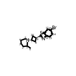 CC1CCCCN1[C@H]1C[C@H](c2nc3ccc(Br)cc3s2)C1